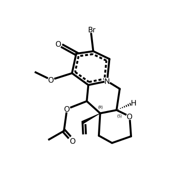 C=C[C@]12CCCO[C@@H]1Cn1cc(Br)c(=O)c(OC)c1C2OC(C)=O